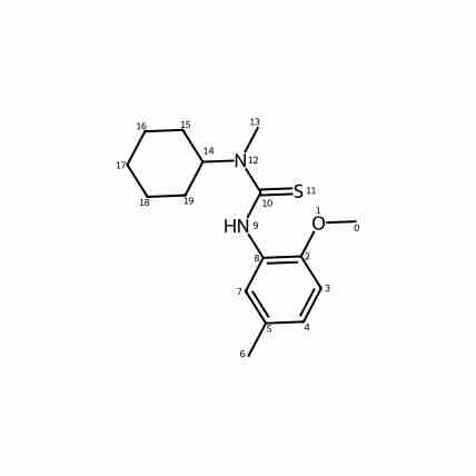 COc1ccc(C)cc1NC(=S)N(C)C1CCCCC1